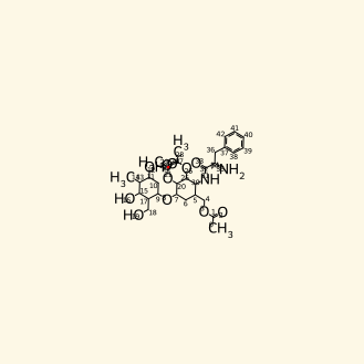 CC(=O)OCC1CC(OC2CC(O)C(C)C(O)C2CO)C(OC(C)=O)C(OC(C)=O)C1NC(=O)[C@H](N)Cc1ccccc1